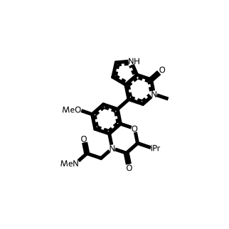 CNC(=O)CN1C(=O)C(C(C)C)Oc2c(-c3cn(C)c(=O)c4[nH]ccc34)cc(OC)cc21